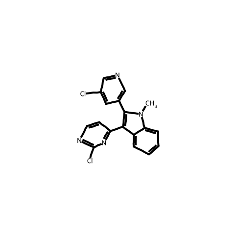 Cn1c(-c2cncc(Cl)c2)c(-c2ccnc(Cl)n2)c2ccccc21